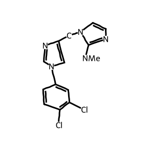 CNc1nccn1Cc1cn(-c2ccc(Cl)c(Cl)c2)cn1